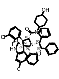 O=C(NC1CCC(O)CC1)[C@H]1[C@H](c2cccc(Cl)c2F)[C@@]2(C(=O)Nc3cc(Cl)ccc32)[C@@H](c2ccccc2)N1[C@H](c1ccccc1)[C@@H](O)c1ccccc1